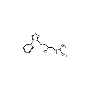 CC(C)NCC(O)COc1nsnc1-c1ccccc1